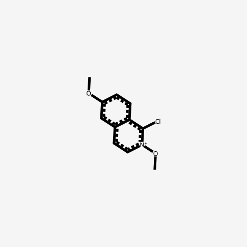 COc1ccc2c(Cl)[n+](OC)ccc2c1